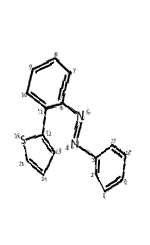 c1ccc(N=Nc2ccccc2-c2cccs2)cc1